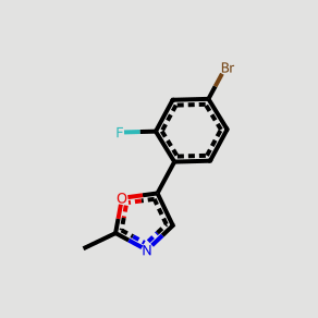 Cc1ncc(-c2ccc(Br)cc2F)o1